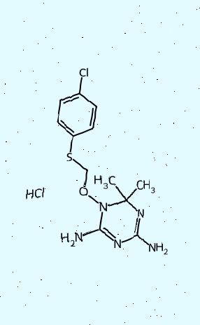 CC1(C)N=C(N)N=C(N)N1OCSc1ccc(Cl)cc1.Cl